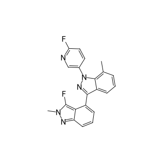 Cc1cccc2c(-c3cccc4nn(C)c(F)c34)nn(-c3ccc(F)nc3)c12